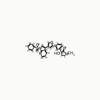 CN1CC[C@@](O)(c2cccc(-c3cc(-c4cn(S(=O)(=O)c5ccccc5)c5ncccc45)co3)c2)C1=O